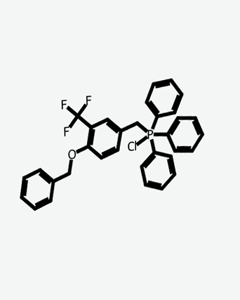 FC(F)(F)c1cc(CP(Cl)(c2ccccc2)(c2ccccc2)c2ccccc2)ccc1OCc1ccccc1